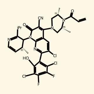 C=CC(=O)N1[C@H](C)CN(c2c(C#N)c(=O)n(C3C(C(C)C)=NC=C[C@H]3C)c3nc(-c4c(O)c(Cl)c(F)c(F)c4Cl)c(Cl)cc23)C[C@@H]1C